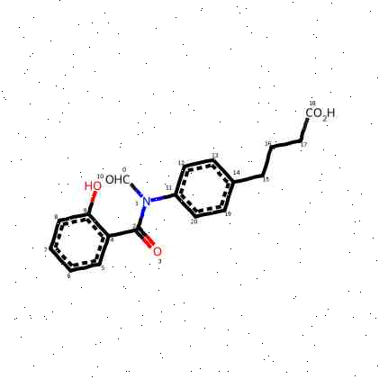 O=CN(C(=O)c1ccccc1O)c1ccc(CCCC(=O)O)cc1